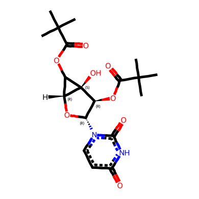 CC(C)(C)C(=O)OC1[C@H]2O[C@@H](n3ccc(=O)[nH]c3=O)[C@H](OC(=O)C(C)(C)C)[C@@]12O